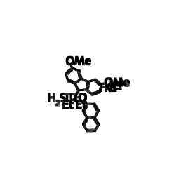 C[CH2][Ti](=[SiH2])([CH2]C)([O]c1ccc2ccccc2c1)[CH]1c2ccc(OC)cc2-c2cc(OC)ccc21.Cl.Cl